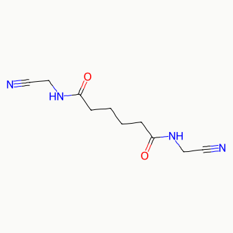 N#CCNC(=O)CCCCC(=O)NCC#N